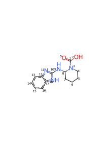 O=C(O)N1CCCCC1Nc1nc2ccccc2[nH]1